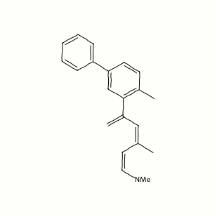 C=C(/C=C(C)\C=C/NC)c1cc(-c2ccccc2)ccc1C